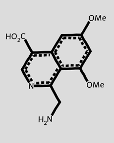 COc1cc(OC)c2c(CN)ncc(C(=O)O)c2c1